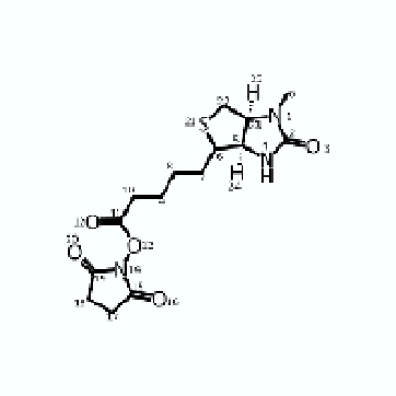 CN1C(=O)N[C@H]2C(CCCCC(=O)ON3C(=O)CCC3=O)SC[C@H]21